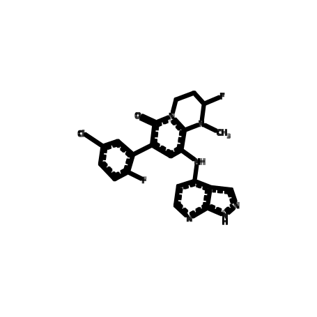 CN1c2c(Nc3ccnc4[nH]ncc34)cc(-c3cc(Cl)ccc3F)c(=O)n2CCC1F